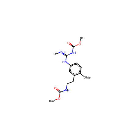 CC/N=C(/NC(=O)OC(C)(C)C)Nc1ccc(OC)c(CCNC(=O)OC(C)(C)C)c1